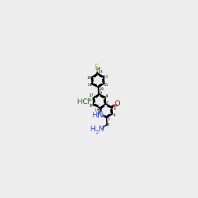 Cl.NCc1cc(=O)c2cc(-c3ccc(F)cc3)ccc2[nH]1